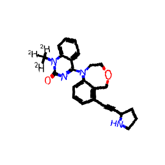 [2H]C([2H])([2H])n1c(=O)nc(N2CCOCc3c(C#CC4CCCN4)cccc32)c2ccccc21